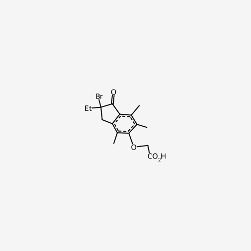 CCC1(Br)Cc2c(C)c(OCC(=O)O)c(C)c(C)c2C1=O